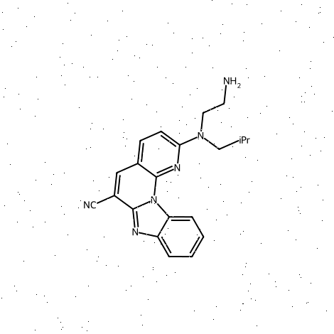 CC(C)CN(CCN)c1ccc2cc(C#N)c3nc4ccccc4n3c2n1